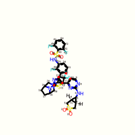 O=S1(=O)C[C@@H]2C(Nc3nccc(-c4sc(N5C6CCC5CN(C5CC(F)(F)C5)C6)nc4-c4cccc(NS(=O)(=O)c5c(F)cccc5F)c4F)n3)[C@@H]2C1